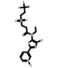 CCN(C(=S)CCS(=O)(=O)CCC(F)(F)F)c1sc(-c2ccc[n+]([O-])c2)nc1Cl